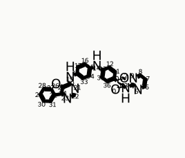 O=S(=O)(Nc1ncccn1)c1ccc(Nc2ccc(Nc3ncnc4c3oc3ccccc34)cc2)cc1